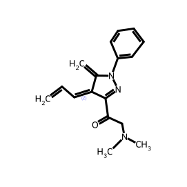 C=C/C=c1/c(C(=O)CN(C)C)nn(-c2ccccc2)c1=C